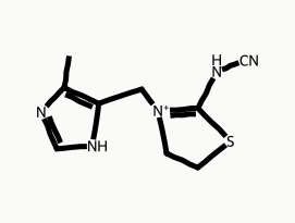 Cc1nc[nH]c1C[N+]1=C(NC#N)SCC1